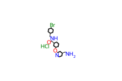 Cl.NCc1ccnc(Oc2cccc(C(=O)NCc3ccc(Br)cc3)c2)c1